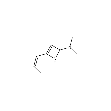 C/C=C\C1=CC(N(C)C)N1